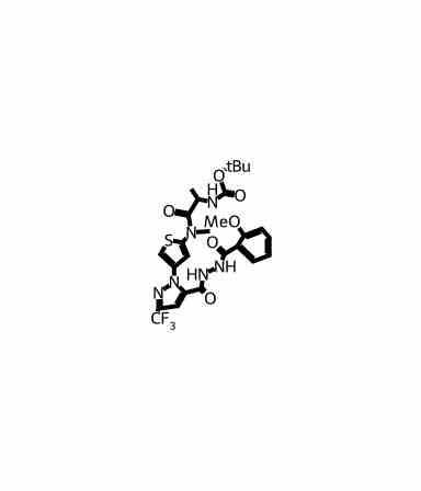 COc1ccccc1C(=O)NNC(=O)c1cc(C(F)(F)F)nn1-c1csc(N(C)C(=O)C(C)NC(=O)OC(C)(C)C)c1